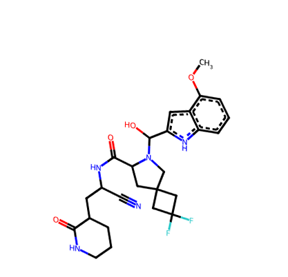 COc1cccc2[nH]c(C(O)N3CC4(CC3C(=O)NC(C#N)CC3CCCNC3=O)CC(F)(F)C4)cc12